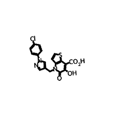 O=C(O)c1c(O)c(=O)n(Cc2cnn(-c3ccc(Cl)cc3)c2)c2ccsc12